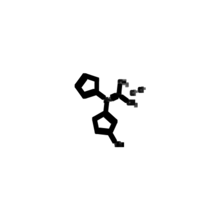 C[Si](C)=[Zr+2]([C]1=CC=CC1)[C]1=CC(C(C)(C)C)=CC1.[Cl-].[Cl-]